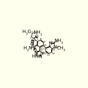 C[C@H](N)CS(=O)(=O)c1ccc(-c2cccc3c2nc(N)n3C)c(-c2nn[nH]n2)c1S(N)(=O)=O